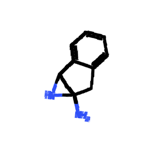 NC12Cc3ccccc3C1N2